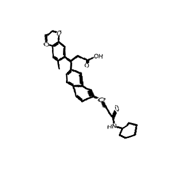 Cc1cc2c(cc1C(CC(=O)O)c1ccc3ccc(OCC(=O)NC4CCCCC4)cc3c1)OCCO2